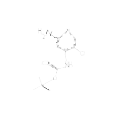 CC(C)(C)OC(=O)Nc1cc(N)ncc1Cl